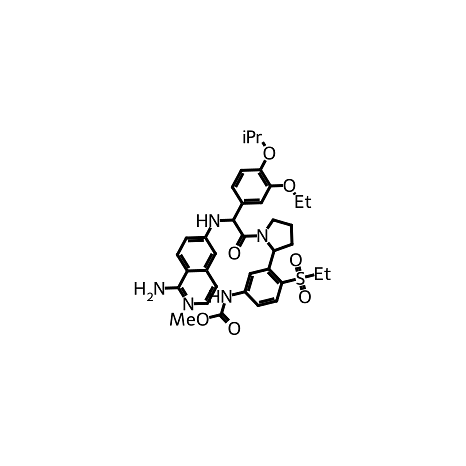 CCOc1cc(C(Nc2ccc3c(N)nccc3c2)C(=O)N2CCCC2c2cc(NC(=O)OC)ccc2S(=O)(=O)CC)ccc1OC(C)C